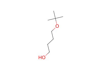 CC(C)(C)OCCCCO